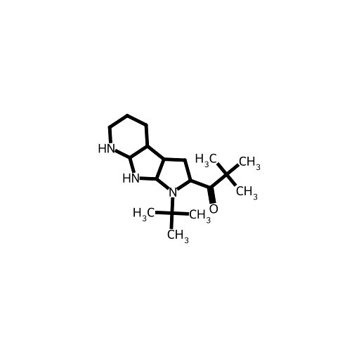 CC(C)(C)C(=O)C1CC2C3CCCNC3NC2N1C(C)(C)C